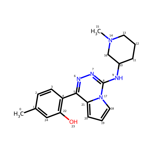 Cc1ccc(-c2nnc(NC3CCCN(C)C3)n3cccc23)c(O)c1